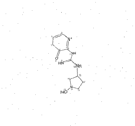 N=C(NC1=NC=CCC1=O)NC1CCN(O)C1